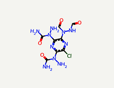 NC(=O)N(N)c1nc(N(N)C(N)=O)c(N(C=O)NC=O)nc1Cl